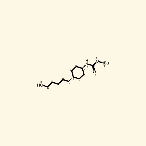 CC(C)(C)OC(=O)N[C@H]1CC[C@H](CCCCCO)CC1